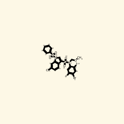 COCN(c1cc(F)c(Br)cc1F)S(=O)(=O)c1cn(S(=O)(=O)c2ccccc2)c2cc(Cl)ccc12